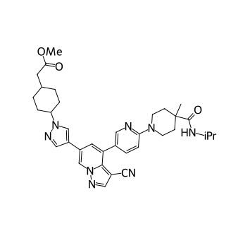 COC(=O)CC1CCC(n2cc(-c3cc(-c4ccc(N5CCC(C)(C(=O)NC(C)C)CC5)nc4)c4c(C#N)cnn4c3)cn2)CC1